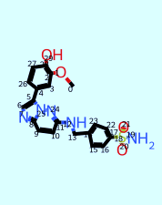 COc1cc(-c2cnc3ccc(NCc4ccc(S(N)(=O)=O)cc4)nn23)ccc1O